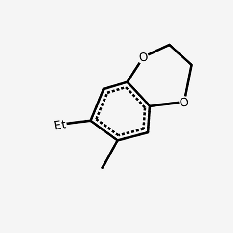 CCc1cc2c(cc1C)OCCO2